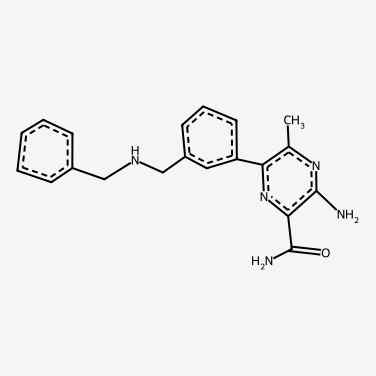 Cc1nc(N)c(C(N)=O)nc1-c1cccc(CNCc2ccccc2)c1